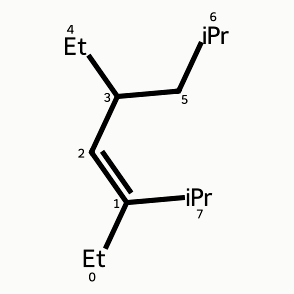 [CH2]C/C(=C/C(CC)CC([CH2])C)C(C)C